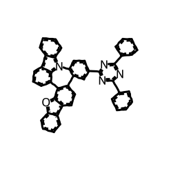 c1ccc(-c2nc(-c3ccccc3)nc(-c3ccc4c(c3)-c3ccc5c(oc6ccccc65)c3-c3cccc5c6ccccc6n-4c35)n2)cc1